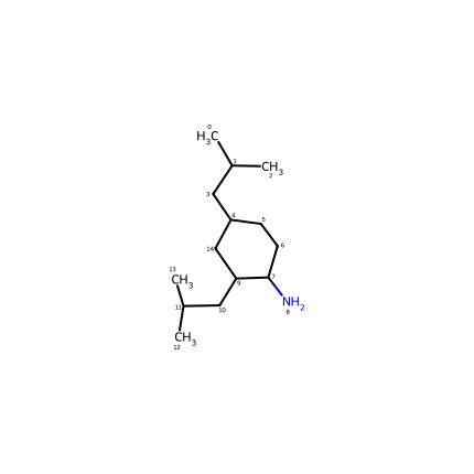 CC(C)CC1CCC(N)C(CC(C)C)C1